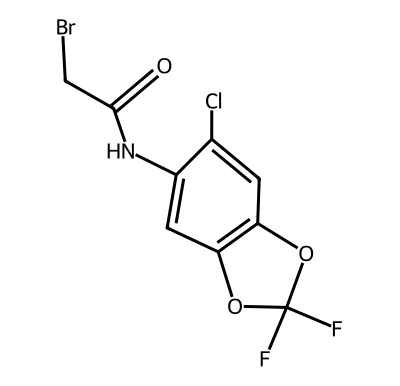 O=C(CBr)Nc1cc2c(cc1Cl)OC(F)(F)O2